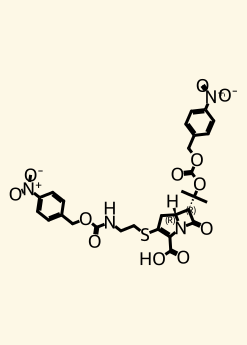 CC(C)(OC(=O)OCc1ccc([N+](=O)[O-])cc1)[C@@H]1C(=O)N2C(C(=O)O)=C(SCCNC(=O)OCc3ccc([N+](=O)[O-])cc3)C[C@H]12